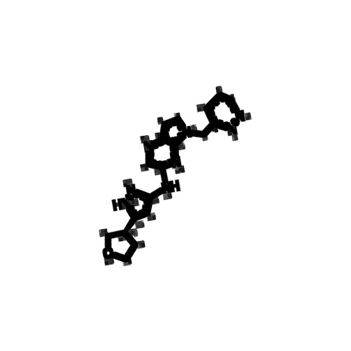 c1cnnc(Cn2ccc3ncc(Nc4cc([C@H]5CCOC5)[nH]n4)nc32)c1